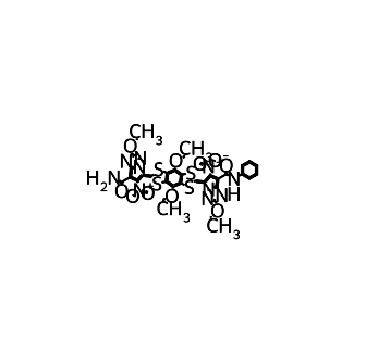 CCOc1nc2c(C(N)=O)c([N+](=O)[O-])c(=C3Sc4c(OCC)c5c(c(OCC)c4S3)SC(=c3c([N+](=O)[O-])c(C(=O)Nc4ccccc4)c4nc(OCC)nn34)S5)n2n1